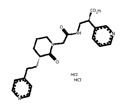 Cl.Cl.O=C(CN1CCC[C@@H](CCc2ccncc2)C1=O)NC[C@@H](C(=O)O)c1cccnc1